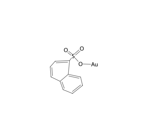 O=S(=O)([O][Au])c1cccc2ccccc12